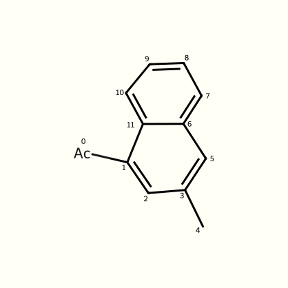 CC(=O)c1cc(C)cc2ccccc12